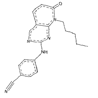 CCCCCn1c(=O)ccc2cnc(Nc3ccc(C#N)cc3)nc21